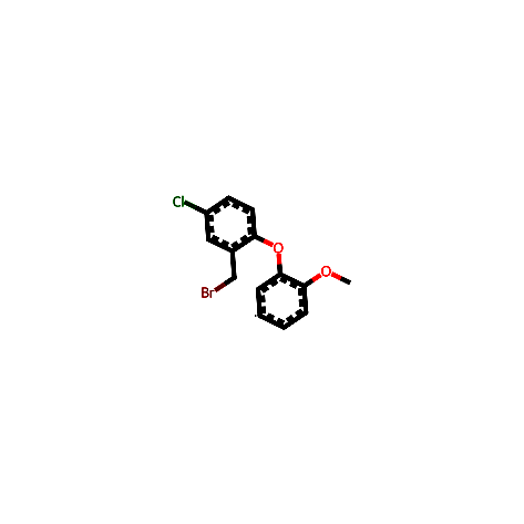 COc1cc[c]cc1Oc1ccc(Cl)cc1CBr